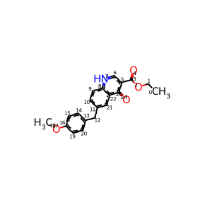 CCOC(=O)c1c[nH]c2ccc(Cc3ccc(OC)cc3)cc2c1=O